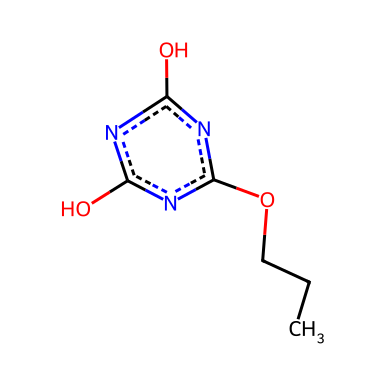 CCCOc1nc(O)nc(O)n1